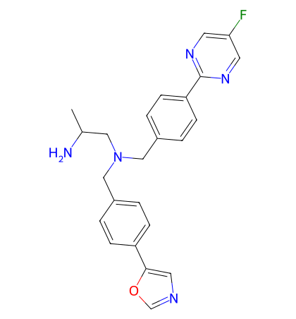 CC(N)CN(Cc1ccc(-c2ncc(F)cn2)cc1)Cc1ccc(-c2cnco2)cc1